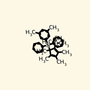 CC1=C(C)C(C)([Si](c2ccccc2)(c2ccccc2)c2cc(C)cc(C)c2)[C]([Ti]([CH3])([CH3])[CH3])=C1C